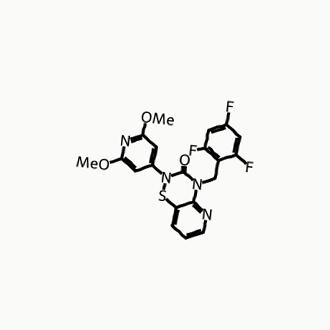 COc1cc(N2Sc3cccnc3N(Cc3c(F)cc(F)cc3F)C2=O)cc(OC)n1